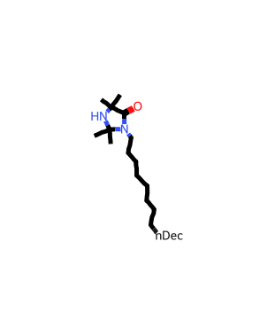 CCCCCCCCCCCCCCCCCCN1C(=O)C(C)(C)NC1(C)C